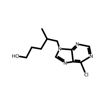 CC(CCCO)Cn1cnc2c(Cl)ncnc21